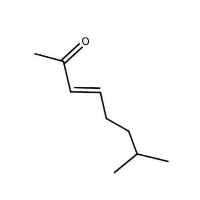 CC(=O)C=CCCC(C)C